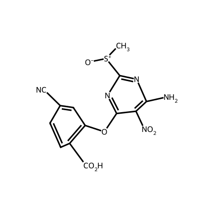 C[S+]([O-])c1nc(N)c([N+](=O)[O-])c(Oc2cc(C#N)ccc2C(=O)O)n1